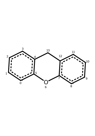 [c]1cccc2c1Oc1[c]cccc1C2